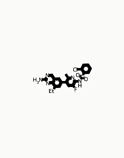 CCc1cc(-c2cc(F)c(NS(=O)(=O)c3ccccc3Cl)nc2C)cc2cnc(N)nc12